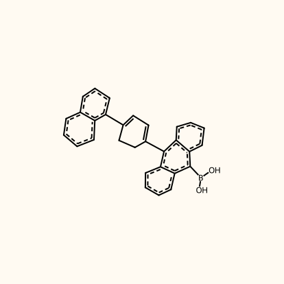 OB(O)c1c2ccccc2c(C2=CC=C(c3cccc4ccccc34)CC2)c2ccccc12